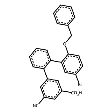 N#Cc1cc(C(=O)O)cc(-c2ccccc2-c2cc(Br)ccc2OCc2ccccc2)c1